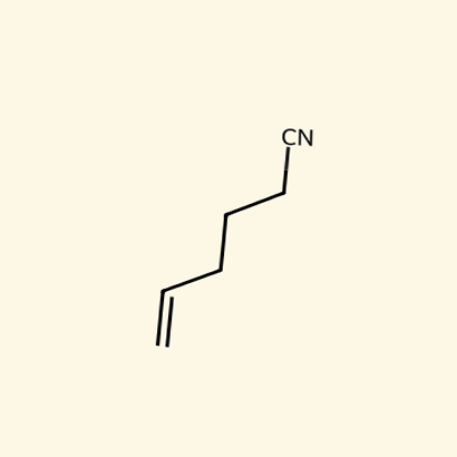 C=CCCCC#N